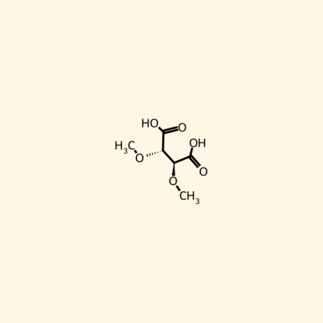 CO[C@H](C(=O)O)[C@H](OC)C(=O)O